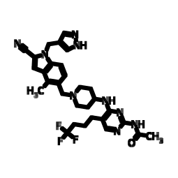 CC(=O)Nc1ncc(CCCC(F)(F)F)c(NC2CCN(Cc3ccc4c(cc(C#N)n4Cc4cn[nH]c4)c3C)CC2)n1